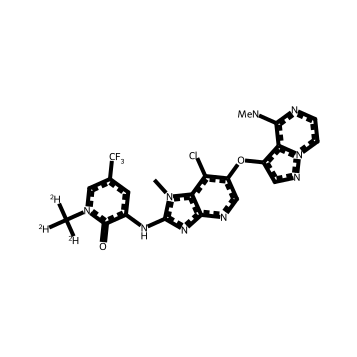 [2H]C([2H])([2H])n1cc(C(F)(F)F)cc(Nc2nc3ncc(Oc4cnn5ccnc(NC)c45)c(Cl)c3n2C)c1=O